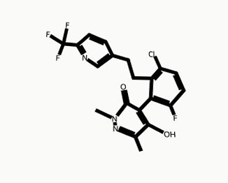 Cc1nn(C)c(=O)c(-c2c(F)ccc(Cl)c2CCc2ccc(C(F)(F)F)nc2)c1O